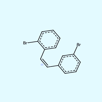 Brc1cccc(/C=C\c2ccccc2Br)c1